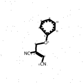 N#CC=C(C#N)COc1ccccc1